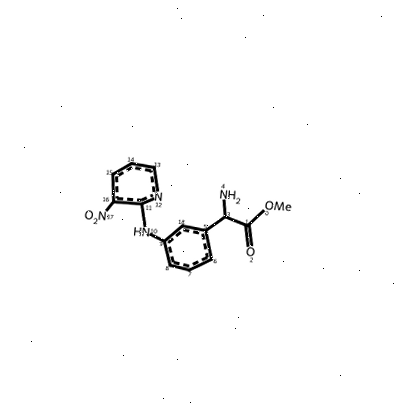 COC(=O)C(N)c1cccc(Nc2ncccc2[N+](=O)[O-])c1